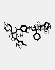 CCn1nccc1C(=O)N[C@@](C=O)(CNc1ccc([C@H](C)[C@@H](NC(=O)c2cc(C)on2)C(=O)N2CCN(C)CC2)cc1F)C1CCCCC1